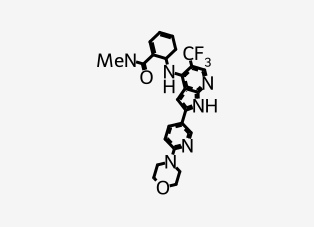 CNC(=O)C1=CC=CCC1Nc1c(C(F)(F)F)cnc2[nH]c(-c3ccc(N4CCOCC4)nc3)cc12